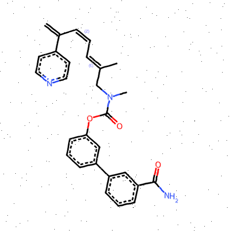 C=C(/C=C\C=C(/C)CN(C)C(=O)Oc1cccc(-c2cccc(C(N)=O)c2)c1)c1ccncc1